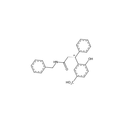 O=C(C[C@H](c1ccccc1)c1cc(C(=O)O)ccc1O)NCc1ccccc1